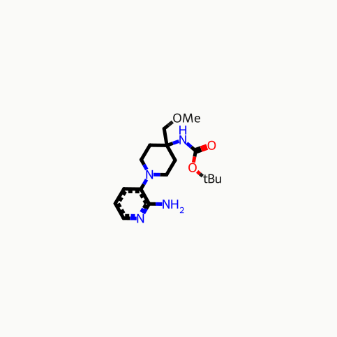 COCC1(NC(=O)OC(C)(C)C)CCN(c2cccnc2N)CC1